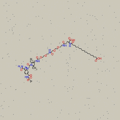 C[C@@H]1C[C@H](CNC(=O)COCCOCCNC(=O)COCCOCCNC(=O)CC[C@H](NC(=O)CCCCCCCCCCCCCCCCC(=O)O)C(=O)O)[C@@H](C)N1C(=O)Cn1nc(C(N)=O)c2ccc(C(=O)NS(=O)(=O)C3CC3)cc21